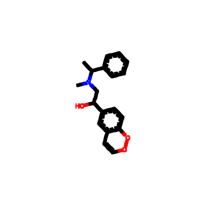 CC(c1ccccc1)N(C)CC(O)c1ccc2c(c1)C=COO2